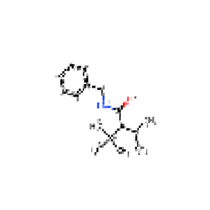 CC(C)C(C(=O)NCc1ccccc1)C(C)(C)C